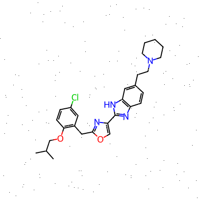 CC(C)COc1ccc(Cl)cc1Cc1nc(-c2nc3ccc(CCN4CCCCC4)cc3[nH]2)co1